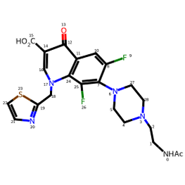 CC(=O)NCCN1CCN(c2c(F)cc3c(=O)c(C(=O)O)cn(Cc4nccs4)c3c2F)CC1